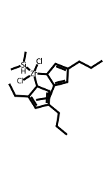 CCCC1=C[CH]([Zr]([Cl])([Cl])([CH]2C=C(CCC)C=C2CC)[SiH](C)C)C(CC)=C1